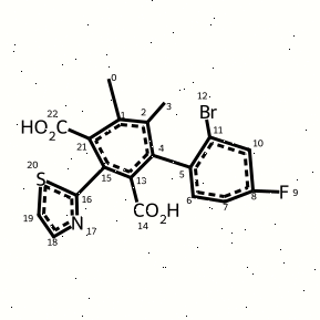 Cc1c(C)c(-c2ccc(F)cc2Br)c(C(=O)O)c(-c2nccs2)c1C(=O)O